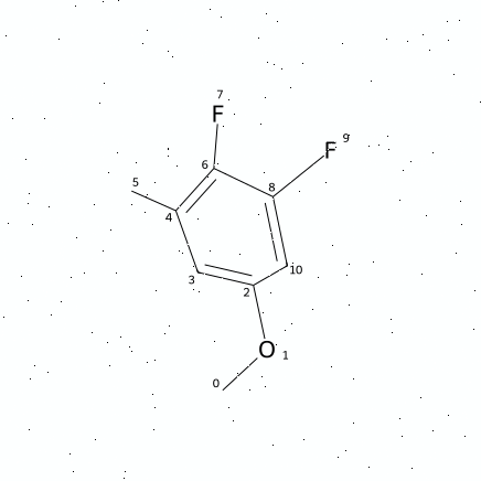 COc1cc(C)c(F)c(F)c1